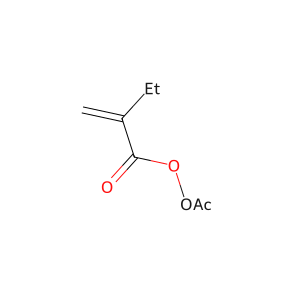 C=C(CC)C(=O)OOC(C)=O